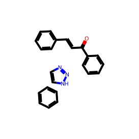 O=C(C=Cc1ccccc1)c1ccccc1.c1c[nH]nn1.c1ccccc1